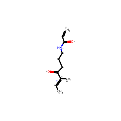 C=CC(=O)NCCCC(=O)/C(C)=C/C